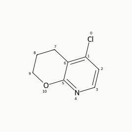 Clc1ccnc2c1CCCO2